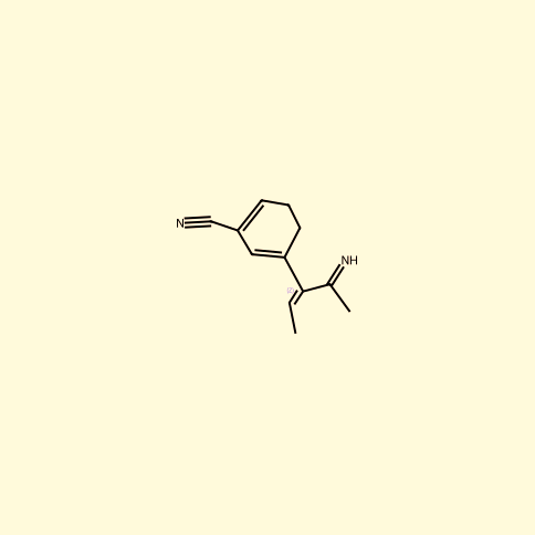 C/C=C(\C(C)=N)C1=CC(C#N)=CCC1